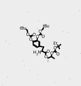 CCC(C)(C)OC(=O)OC(C)[C@H](C)OC(=O)[C@@H](N)Cc1ccc(OC(=O)OCC(C)(C)C)c(OC(=O)OCC(C)(C)C)c1